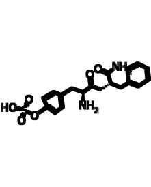 NC(=O)[C@@H](CC(=O)[C@@H](N)Cc1ccc(OS(=O)(=O)O)cc1)Cc1ccccc1